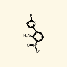 Nc1c(-c2ccc(F)s2)cccc1[N+](=O)[O-]